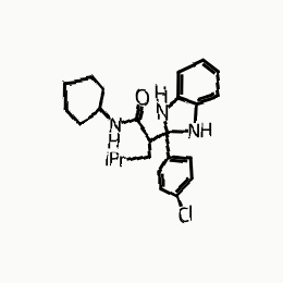 CC(C)CC(C(=O)NC1CCCCC1)C1(c2ccc(Cl)cc2)Nc2ccccc2N1